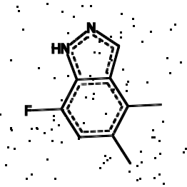 Cc1cc(F)c2[nH]ncc2c1C